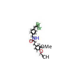 C#CCOc1ccc(CCC(=O)NCc2ccc(C=C(Br)Br)cc2)cc1OC